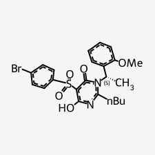 CCCCc1nc(O)c(S(=O)(=O)c2ccc(Br)cc2)c(=O)n1[C@@H](C)c1ccccc1OC